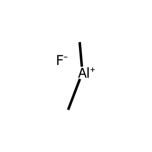 [CH3][Al+][CH3].[F-]